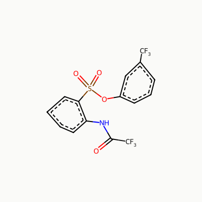 O=C(Nc1ccccc1S(=O)(=O)Oc1cccc(C(F)(F)F)c1)C(F)(F)F